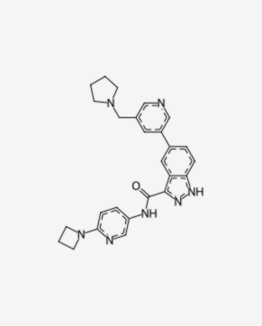 O=C(Nc1ccc(N2CCC2)nc1)c1n[nH]c2ccc(-c3cncc(CN4CCCC4)c3)cc12